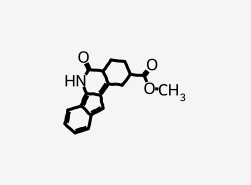 COC(=O)C1CCC2C(=O)NC3=c4ccccc4=CC3=C2C1